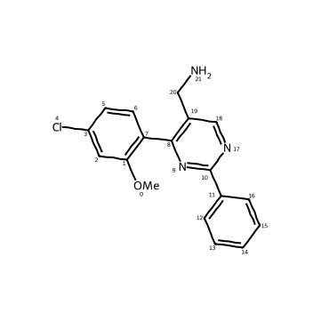 COc1cc(Cl)ccc1-c1nc(-c2ccccc2)ncc1CN